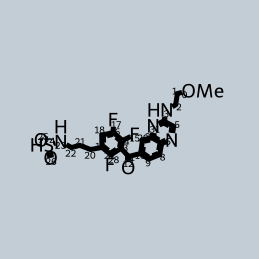 COCCNc1cnc2ccc(C(=O)c3c(F)c(F)cc(CCCN[SH](=O)=O)c3F)cc2n1